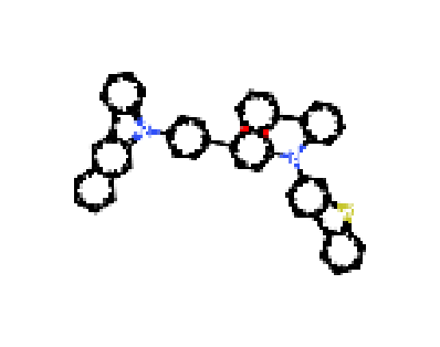 c1ccc(-c2ccccc2N(c2ccc(-c3ccc(-n4c5ccccc5c5cc6ccccc6cc54)cc3)cc2)c2ccc3c(c2)sc2ccccc23)cc1